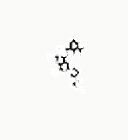 CC(=O)N[C@@H]1CCN(c2cc3c(NC(C)c4cccc(C(F)F)c4F)nc(C)nc3c(C)n2)C1